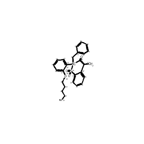 CC1C(=O)[N+](Cc2ccccc2)(c2ccccc2OCCCCBr)S(=O)(=O)c2ccccc21